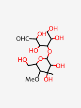 COC1C(CO)OC(OC(C(O)CO)C(O)C(O)C=O)C(O)C1(C)O